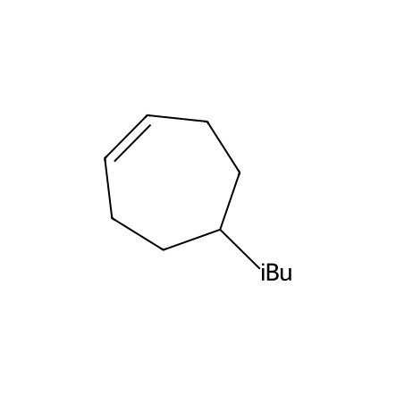 C[CH]C(C)C1CCC=CCC1